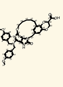 COc1ccc(CN(Cc2ccc(OC)cc2)c2nc3nc4c2[nH]c(=O)n4Cc2cc(c4c(c2)OCC(C(=O)O)O4)CCCCCO3)cc1